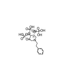 O=P(O)(O)OC1[C@H](OP(=O)(O)O)CN(CCc2ccccc2)C[C@H]1OP(=O)(O)O